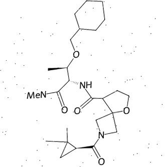 CNC(=O)[C@@H](NC(=O)C1CCOC12CN(C(=O)[C@H]1CC1(C)C)C2)[C@@H](C)OCC1CCCCC1